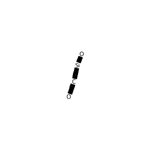 O=C=[Si]=O